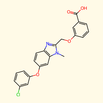 Cn1c(COc2cccc(C(=O)O)c2)nc2ccc(Oc3cccc(Cl)c3)cc21